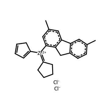 Cc1ccc2c(c1)-c1cc(C)c[c]([Zr+2]([C]3=CC=CC3)=[C]3CCCC3)c1C2.[Cl-].[Cl-]